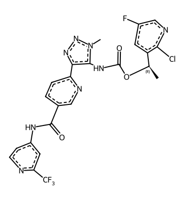 C[C@@H](OC(=O)Nc1c(-c2ccc(C(=O)Nc3ccnc(C(F)(F)F)c3)cn2)nnn1C)c1cc(F)cnc1Cl